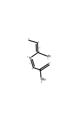 C=C(/C=N\C(=C/C)C(C)C)C(C)(C)C